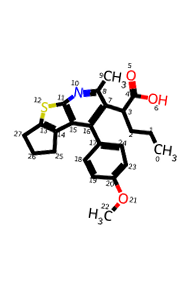 CCCC(C(=O)O)c1c(C)nc2sc3c(c2c1-c1ccc(OC)cc1)CCC3